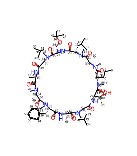 CC[C@H](C)[C@H]1C(=O)N(C)[C@@H](C)C(=O)N(C)[C@@H](CC(C)C)C(=O)N[C@@H](COC(C)(C)C)C(=O)N(C)[C@@H](CC(C)C)C(=O)N[C@H](C)C(=O)N(C)[C@@H](C)C(=O)N(C)[C@@H](Cc2ccccc2)C(=O)N[C@@H](C)C(=O)N(C)[C@@H](CC(C)C)C(=O)N[C@@H]([C@@H](C)O)C(=O)N1C